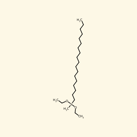 CCCCCCCCCCCCCCCCCC[Si](C)(OCC)OCC